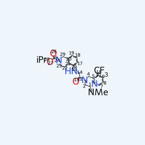 CNCCN(Cc1ncccc1C(F)(F)F)C(=O)CNc1cccc2c1CCN(C(=O)OC(C)C)C2